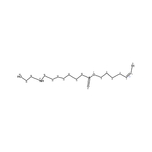 CC/C=C\CCCCOC(=O)CCCCCCCNCCO